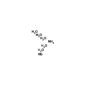 N.O.O.O.O.O.[Nb]